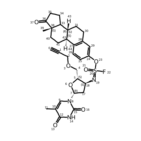 C#CCOC[C@H]1O[C@@H](n2cc(C)c(=O)[nH]c2=O)C[C@@H]1N=S(=O)(F)Oc1ccc2c(c1)CC[C@H]1C3CCC(=O)[C@@]3(C)CC[C@H]21